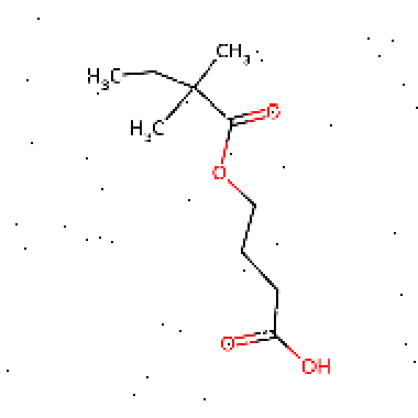 CCC(C)(C)C(=O)OCCCC(=O)O